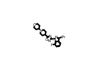 CC(C)c1nn(-c2noc(C3CCN(C4CCOCC4)CC3)n2)c2c(F)cccc12